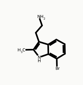 Cc1[nH]c2c(Br)cccc2c1CCN